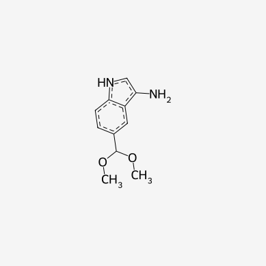 COC(OC)c1ccc2[nH]cc(N)c2c1